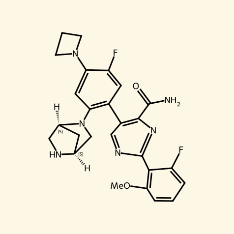 COc1cccc(F)c1-c1ncc(-c2cc(F)c(N3CCC3)cc2N2C[C@@H]3C[C@H]2CN3)c(C(N)=O)n1